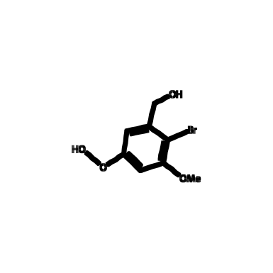 COc1cc(OO)cc(CO)c1Br